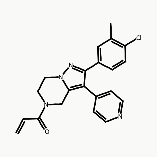 C=CC(=O)N1CCn2nc(-c3ccc(Cl)c(C)c3)c(-c3ccncc3)c2C1